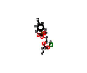 CCC(=O)O[C@@H](CCl)COS(=O)(=O)c1ccc(C)cc1